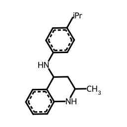 CC1CC(Nc2ccc(C(C)C)cc2)c2ccccc2N1